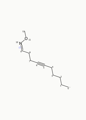 [CH2]CCCCC#CCC/C=N\OC